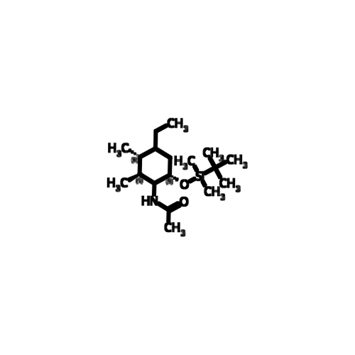 CCC1C[C@H](O[Si](C)(C)C(C)(C)C)C(NC(C)=O)[C@@H](C)[C@@H]1C